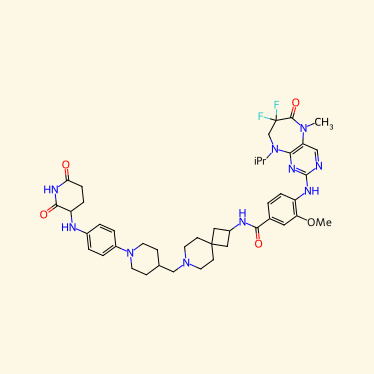 COc1cc(C(=O)NC2CC3(CCN(CC4CCN(c5ccc(NC6CCC(=O)NC6=O)cc5)CC4)CC3)C2)ccc1Nc1ncc2c(n1)N(C(C)C)CC(F)(F)C(=O)N2C